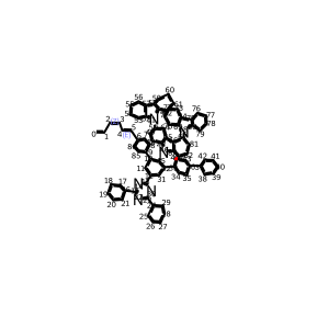 C=C/C=C\C=C\c1ccc(-c2cc(-c3nc(-c4ccccc4)nc(-c4ccccc4)n3)cc(-c3ccc(-c4ccccc4)cc3)c2-n2c3ccc(-n4c5ccccc5c5ccccc54)cc3c3c(-n4c5ccccc5c5ccccc54)cccc32)cc1